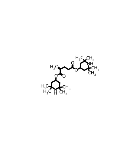 C=C(CCC(=O)OC1CC(C)(C)NC(C)(C)C1)C(=O)OC1CC(C)(C)NC(C)(C)C1